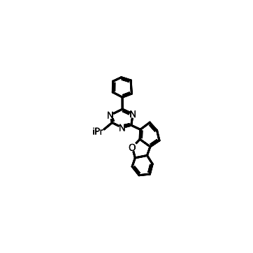 CC(C)c1nc(-c2ccccc2)nc(-c2cccc3c2OC2C=CC=CC32)n1